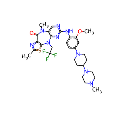 COc1cc(N2CCC(N3CCN(C)CC3)CC2)ccc1Nc1ncc2c(n1)N(CC(F)(F)F)c1sc(C)nc1C(=O)N2C